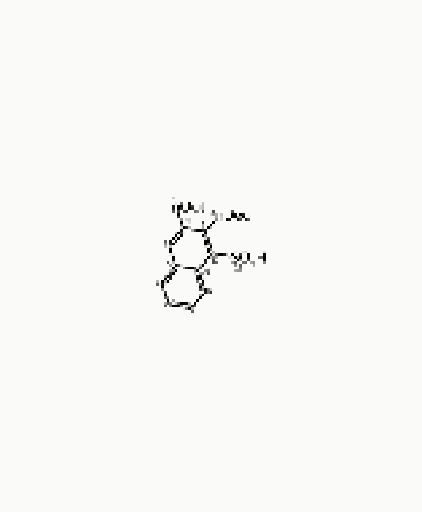 CCCCCCCCCCc1c(CCCCCCCC)cc2ccccc2c1S(=O)(=O)O